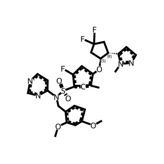 COc1ccc(CN(c2ccncn2)S(=O)(=O)c2cc(C)c(O[C@H]3CC(F)(F)C[C@@H]3c3ccnn3C)cc2F)c(OC)c1